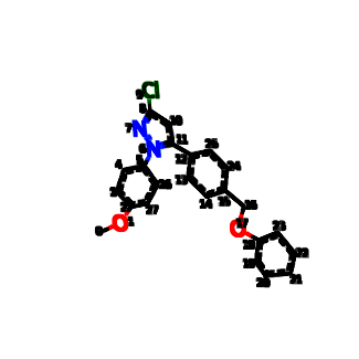 COc1ccc(-n2nc(Cl)cc2-c2ccc(COc3ccccc3)cc2)cc1